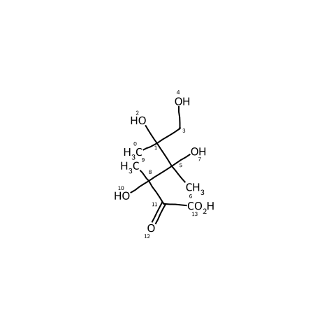 CC(O)(CO)C(C)(O)C(C)(O)C(=O)C(=O)O